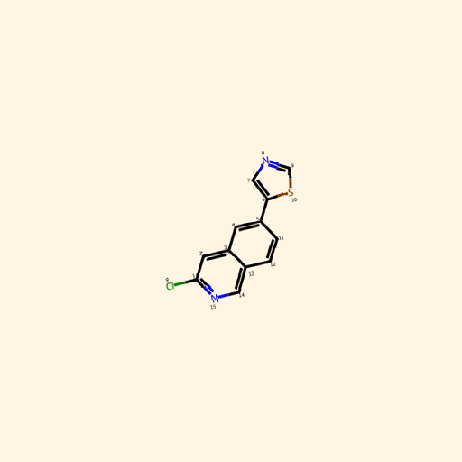 Clc1cc2cc(-c3cncs3)ccc2cn1